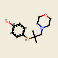 CC(C)(CN1CCOCC1)Sc1ccc(O)cc1